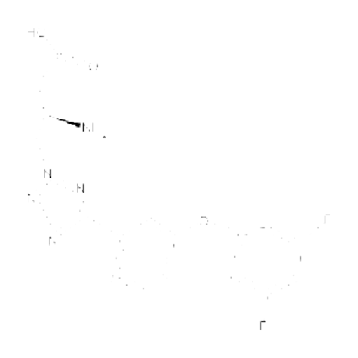 N[C@H](CC(=O)O)Cn1nnc(-c2cccc(Oc3cc(F)cc(F)c3)c2)n1